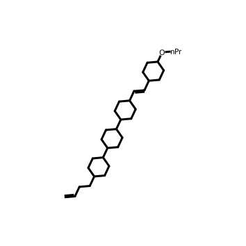 C=CCCC1CCC(C2CCC(C3CCC(/C=C/C4CCC(OCCC)CC4)CC3)CC2)CC1